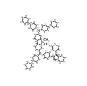 CC1(C)c2cc(N(c3ccc(-c4ccccc4)cc3)c3ccc(-c4ccccc4)cc3)ccc2-c2ccc(N(c3ccc(-c4ccccc4)cc3)c3ccc(-c4nc5ccccc5n4C4=CCCC=C4)cc3)cc21